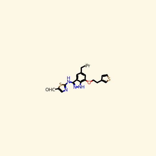 CC(C)Cc1cc(OCCc2ccsc2)c2[nH]nc(Nc3ncc(C=O)s3)c2c1